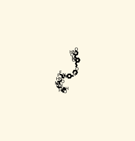 O=C1CCC(c2noc3c(CCCOC4CCN(CC5CCC(n6cc(NC(=O)c7cnn8ccc(N9C[C@H]%10C[C@@H]9CO%10)nc78)c(C(F)F)n6)CC5)CC4)cccc23)C(=O)N1